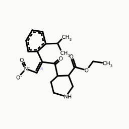 CCOC(=O)C1CNCCC1C(=O)/C(=C/[N+](=O)[O-])c1ccccc1C(C)C